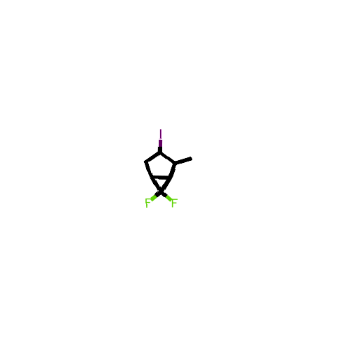 CC1C(I)CC2C1C2(F)F